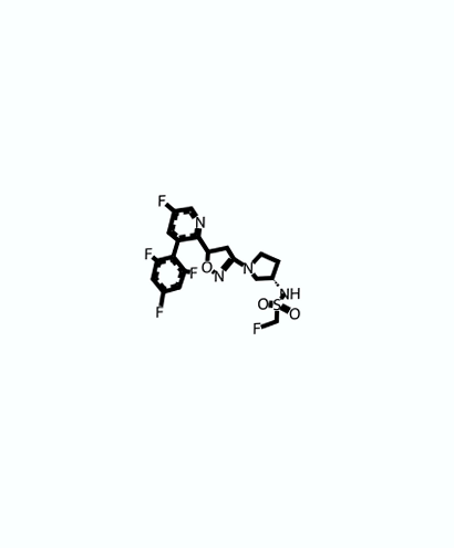 O=S(=O)(CF)N[C@H]1CCN(C2=NOC(c3ncc(F)cc3-c3c(F)cc(F)cc3F)C2)C1